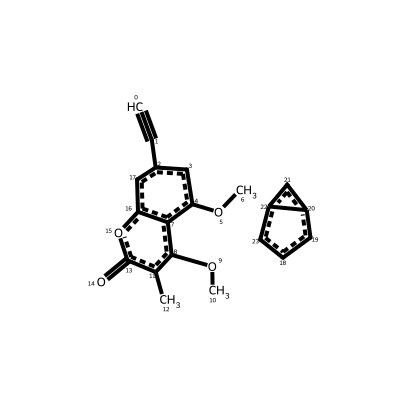 C#Cc1cc(OC)c2c(OC)c(C)c(=O)oc2c1.c1cc2cc-2c1